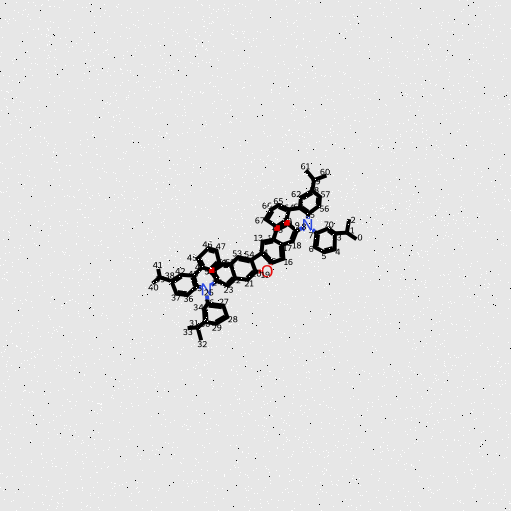 CC(C)c1cccc(N(c2ccc3cc4c(cc3c2)oc2cc3cc(N(c5cccc(C(C)C)c5)c5ccc(C(C)C)cc5-c5ccccc5)ccc3cc24)c2ccc(C(C)C)cc2-c2ccccc2)c1